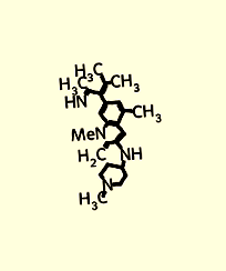 C=C/C(=C\c1c(C)cc(C(C(C)=N)=C(C)C)cc1NC)NC1CCN(C)CC1